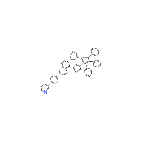 c1ccc(-c2cc(-c3cccc(-c4ccc5cc(-c6ccc(-c7cccnc7)cc6)ccc5c4)c3)c(-c3ccccc3)c(-c3ccccc3)c2-c2ccccc2)cc1